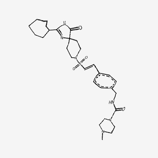 CN1CCN(C(=O)NCc2ccc(C=CS(=O)(=O)N3CCC4(CC3)N=C(C3CCCCC3)NC4=O)cc2)CC1